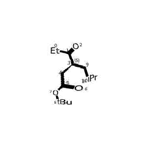 CCC(=O)[C@H](CC(=O)OC(C)(C)C)CC(C)C